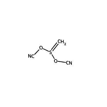 C=S(OC#N)OC#N